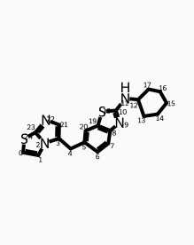 c1cn2c(Cc3ccc4nc(NC5CCCCC5)sc4c3)cnc2s1